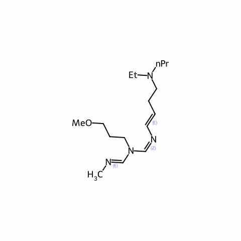 CCCN(CC)CC/C=C/N=C\N(/C=N/C)CCCOC